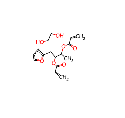 C=CC(=O)OC(C)C(Cc1ccco1)OC(=O)C=C.OCCO